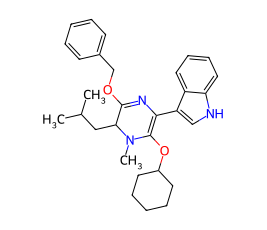 CC(C)CC1C(OCc2ccccc2)=NC(c2c[nH]c3ccccc23)=C(OC2CCCCC2)N1C